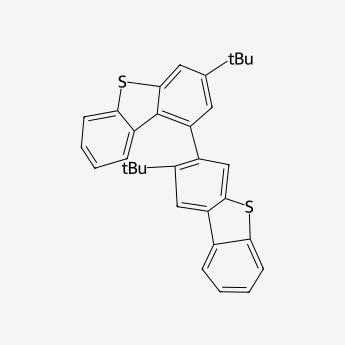 CC(C)(C)c1cc(-c2cc3sc4ccccc4c3cc2C(C)(C)C)c2c(c1)sc1ccccc12